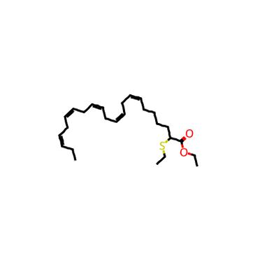 CC/C=C\C/C=C\C/C=C\C/C=C\C/C=C\CCCCC(SCC)C(=O)OCC